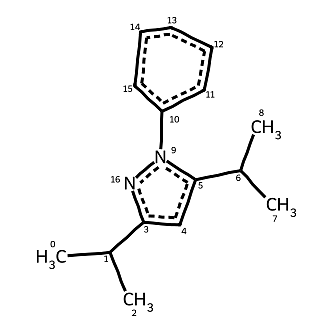 CC(C)c1cc(C(C)C)n(-c2ccccc2)n1